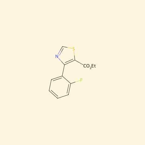 CCOC(=O)c1scnc1-c1ccccc1F